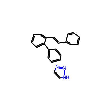 C(=Cc1ccccc1-c1ccccc1)c1ccccc1.c1c[nH]nn1